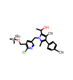 Cc1c(-c2ccc(C#N)cc2)c(C#N)c(C(C)O)n1Cc1cnc(Cl)c(CO[Si](C)(C)C(C)(C)C)c1